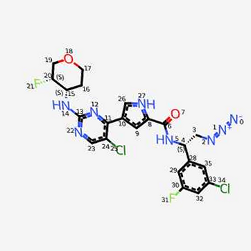 [N-]=[N+]=NC[C@@H](NC(=O)c1cc(-c2nc(N[C@H]3CCOC[C@H]3F)ncc2Cl)c[nH]1)c1cc(F)cc(Cl)c1